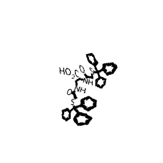 O=C(CSC(c1ccccc1)(c1ccccc1)c1ccccc1)NCC(NC(=O)CSC(c1ccccc1)(c1ccccc1)c1ccccc1)C(=O)O